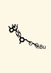 CCCCOCCOCCCc1cc(C)cc(N2CCN(c3cnnc4c(C)cccc34)CC2)c1